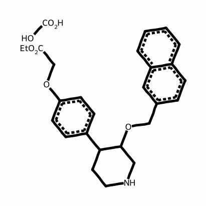 CCOC(=O)COc1ccc(C2CCNCC2OCc2ccc3ccccc3c2)cc1.O=C(O)O